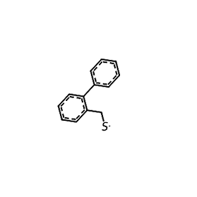 [S]Cc1ccccc1-c1ccccc1